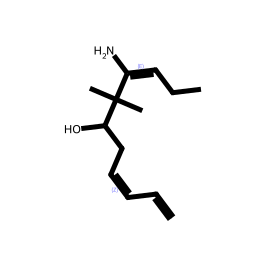 C=C/C=C\CC(O)C(C)(C)/C(N)=C\CC